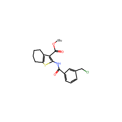 CC(C)(C)OC(=O)c1c(NC(=O)c2cccc(CCl)c2)sc2c1CCCC2